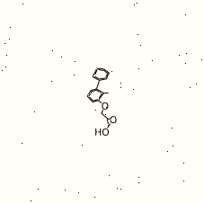 Cc1c(OCC2OC2O)cccc1-c1ccccc1